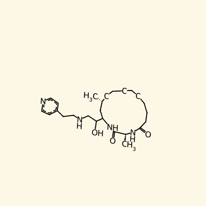 C[C@@H]1CCCCCCCCC(=O)N[C@@H](C)C(=O)NC(C(O)CNCCc2ccncc2)C1